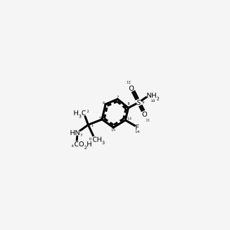 CC(C)(NC(=O)O)c1ccc(S(N)(=O)=O)c(F)c1